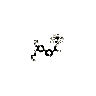 C=C(CO[Si](C)(C)C(C)(C)C)c1cncc(-c2cnc(OC)c(OCCC)c2)c1